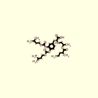 CCCC(C)C(=O)OC(C)CN[C@@H](Cc1ccc(OC(=O)OCCC(C)C)c(OC(=O)OCCC(C)C)c1)C(=O)O